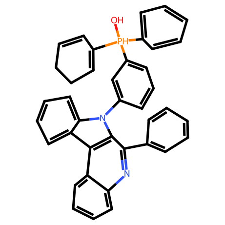 O[PH](C1=CCCC=C1)(c1ccccc1)c1cccc(-n2c3ccccc3c3c4ccccc4nc(-c4ccccc4)c32)c1